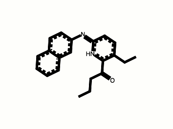 CCCC(=O)c1[nH]c(=Nc2ccc3ccccc3c2)ccc1CC